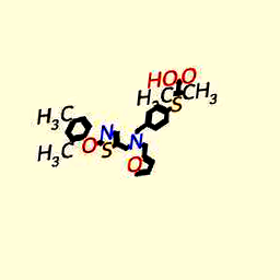 Cc1ccc(Oc2ncc(CN(Cc3ccc(SC(C)(C)C(=O)O)cc3)Cc3ccco3)s2)c(C)c1